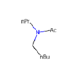 CCCCCN(CCC)C(C)=O